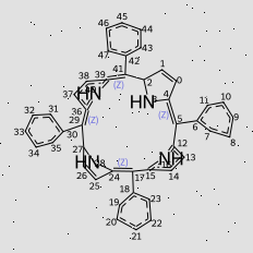 C1=CC2N/C1=C(/c1ccccc1)c1ccc([nH]1)/C(c1ccccc1)=C1/C=CC(N1)/C(c1ccccc1)=c1/cc/c([nH]1)=C/2c1ccccc1